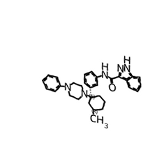 C[C@@H]1CCC[C@](c2cccc(NC(=O)c3n[nH]c4ccccc34)c2)(N2CCN(c3ccccc3)CC2)C1